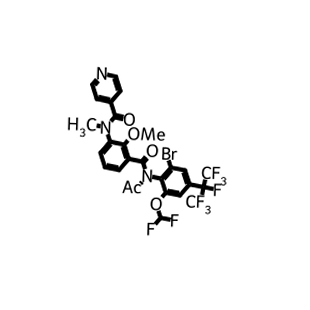 COc1c(C(=O)N(C(C)=O)c2c(Br)cc(C(F)(C(F)(F)F)C(F)(F)F)cc2OC(F)F)cccc1N(C)C(=O)c1ccncc1